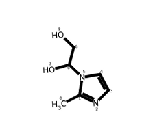 Cc1nccn1C(O)CO